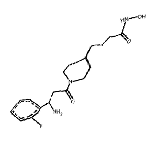 NC(CC(=O)N1CCC(CCCC(=O)NO)CC1)c1ccccc1F